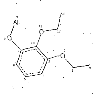 CCOc1cccc([O][Al])c1OCC